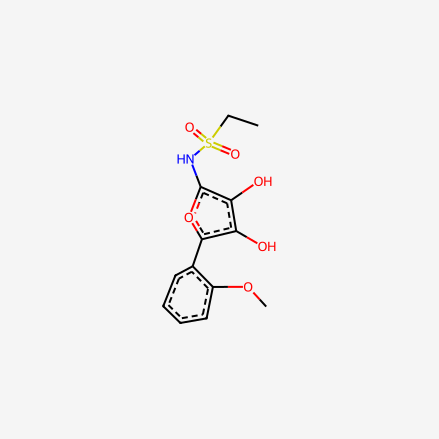 CCS(=O)(=O)Nc1oc(-c2ccccc2OC)c(O)c1O